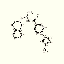 CC(CN1CCc2ccccc2C1)NC(=O)c1ccc(-c2noc(C(F)(F)F)n2)cc1